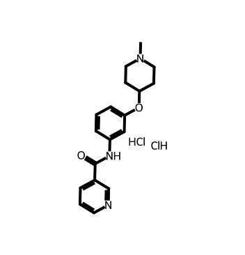 CN1CCC(Oc2cccc(NC(=O)c3cccnc3)c2)CC1.Cl.Cl